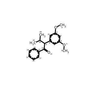 COc1cc(OC)cc(C(C(=O)c2ccccc2)C(C)C)c1